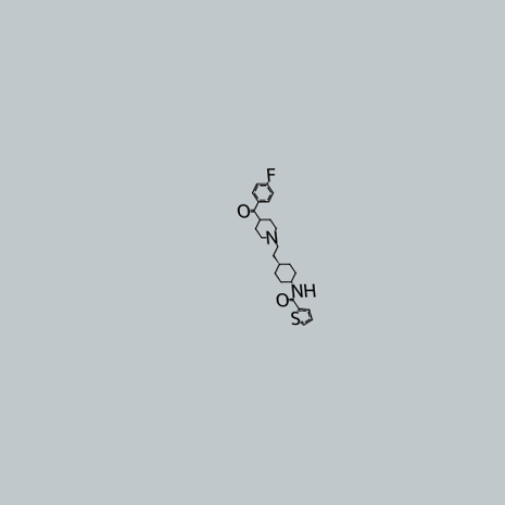 O=C(N[C@H]1CC[C@H](CCN2CCC(C(=O)c3ccc(F)cc3)CC2)CC1)c1cccs1